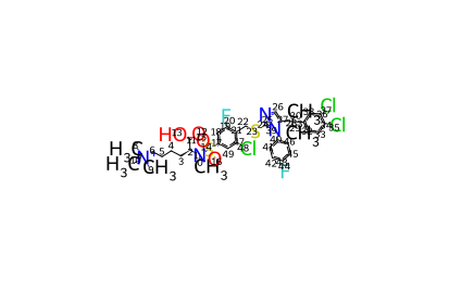 CN([C@@H](CCCC[N+](C)(C)C)C(=O)O)S(=O)(=O)c1cc(F)c(CSc2ncc(C(C)(C)c3ccc(Cl)c(Cl)c3)n2-c2ccc(F)cc2)c(Cl)c1